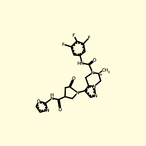 C[C@H]1Cn2ncc(N3CC(C(=O)Nc4ncco4)CC3=O)c2CN1C(=O)Nc1cc(F)c(F)c(F)c1